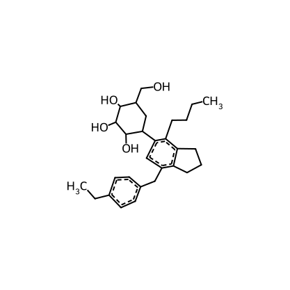 CCCCc1c(C2CC(CO)C(O)C(O)C2O)cc(Cc2ccc(CC)cc2)c2c1CCC2